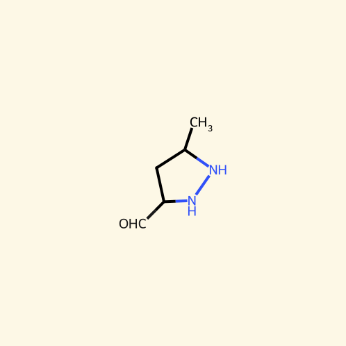 CC1CC(C=O)NN1